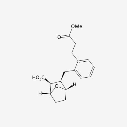 COC(=O)CCc1ccccc1C[C@@H]1[C@H](C(=O)O)[C@H]2CC[C@@H]1O2